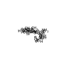 CNC(C(=O)N[C@H](C(=O)N(C)[C@H](/C=C(\C)C(=O)O)C(C)C)C(C)(C)C)C(C)(C)c1cn(C)c2cc(NC(=O)OCc3ccc(NC(=O)[C@H](CCCNC(N)=O)NC(=O)[C@@H](NC(=O)CCC(=O)N4Cc5ccccc5/C=C\c5ccccc54)C(C)C)cc3)ccc12